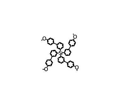 COc1ccc(-c2cccc([Si](c3cccc(-c4ccc(OC)cc4)c3)(c3cccc(-c4ccc(OC)cc4)c3)c3cccc(-c4ccc(OC)cc4)c3)c2)cc1